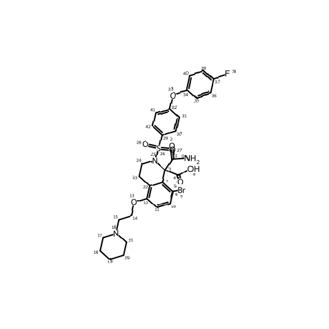 NC(=O)C1(C(=O)O)c2c(Br)ccc(OCCN3CCCCC3)c2CCN1S(=O)(=O)c1ccc(Oc2ccc(F)cc2)cc1